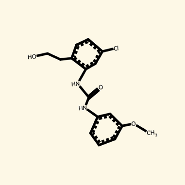 COc1cccc(NC(=O)Nc2cc(Cl)ccc2CCO)c1